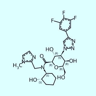 Cn1ccnc1CN(C(=O)[C@@H]1O[C@H](CO)[C@H](O)[C@H](n2cc(-c3cc(F)c(F)c(F)c3)nn2)[C@H]1O)[C@H]1CCCC[C@@H]1O